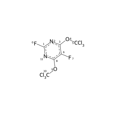 Fc1nc(OC(Cl)(Cl)Cl)c(F)c(OC(Cl)(Cl)Cl)n1